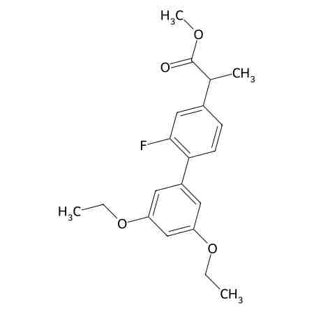 CCOc1cc(OCC)cc(-c2ccc(C(C)C(=O)OC)cc2F)c1